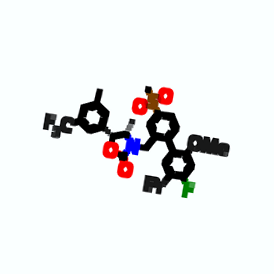 COc1cc(F)c(C(C)C)cc1-c1ccc(S(C)(=O)=O)cc1CN1C(=O)O[C@H](c2cc(C)cc(C(F)(F)F)c2)[C@@H]1C